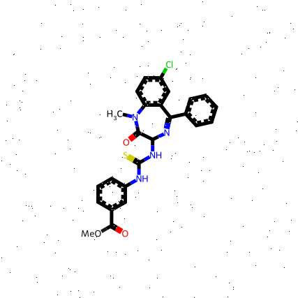 COC(=O)c1cccc(NC(=S)NC2N=C(c3ccccc3)c3cc(Cl)ccc3N(C)C2=O)c1